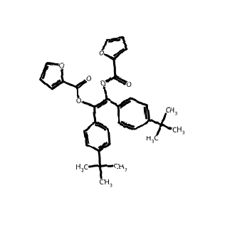 CC(C)(C)c1ccc(C(OC(=O)c2ccco2)=C(OC(=O)c2ccco2)c2ccc(C(C)(C)C)cc2)cc1